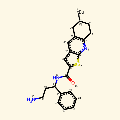 CC(C)(C)[C@H]1CCc2nc3sc(C(=O)NC(CCN)c4ccccc4)cc3cc2C1